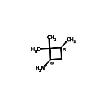 C[C@@H]1C[C@H](N)C1(C)C